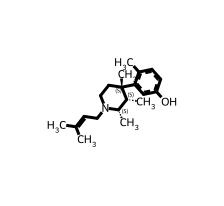 CC(C)=CCN1CC[C@](C)(c2cc(O)ccc2C)[C@H](C)[C@@H]1C